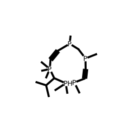 CC(C)C1[PH](C)(C)P(C)C#CP(C)CP(C)C#CP1(C)(C)C